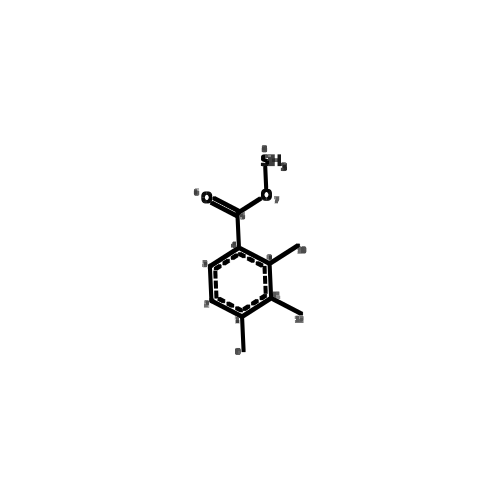 Cc1ccc(C(=O)O[SiH3])c(C)c1C